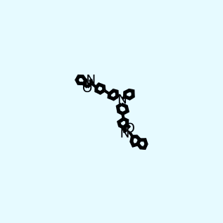 c1ccc(N(c2ccc(-c3ccc(-c4nc5ccccc5o4)cc3)cc2)c2ccc(-c3ccc4nc(-c5ccc6ccccc6c5)oc4c3)cc2)cc1